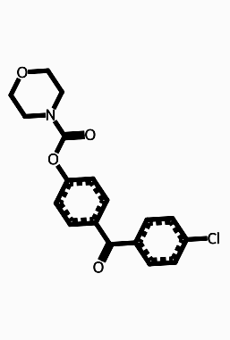 O=C(c1ccc(Cl)cc1)c1ccc(OC(=O)N2CCOCC2)cc1